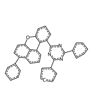 c1ccc(-c2nc(-c3ccccc3)nc(-c3cccc4c3-c3cccc5c(-c6ccccc6)ccc(c35)O4)n2)cc1